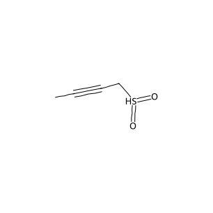 CC#CC[SH](=O)=O